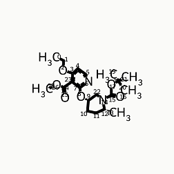 CCOc1ccnc(O[C@@H]2CC[C@@H](C)N(C(=O)OC(C)(C)C)C2)c1C(=O)OC